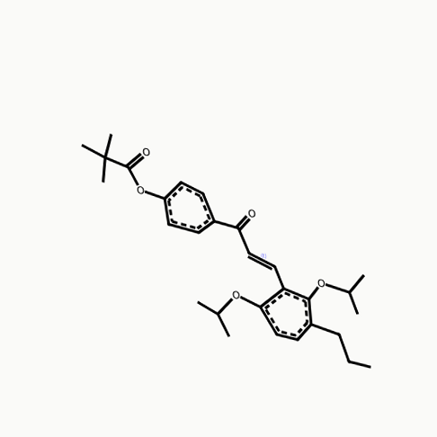 CCCc1ccc(OC(C)C)c(/C=C/C(=O)c2ccc(OC(=O)C(C)(C)C)cc2)c1OC(C)C